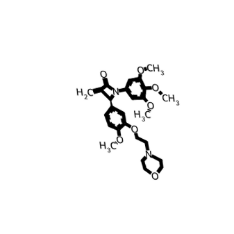 C=C1C(=O)N(c2cc(OC)c(OC)c(OC)c2)[C@H]1c1ccc(OC)c(OCCN2CCOCC2)c1